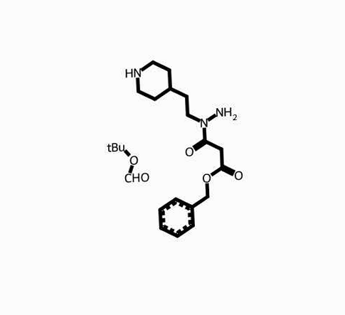 CC(C)(C)OC=O.NN(CCC1CCNCC1)C(=O)CC(=O)OCc1ccccc1